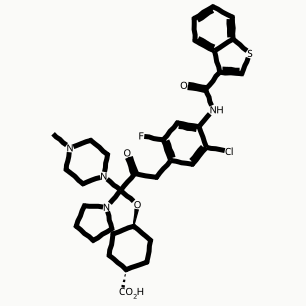 CN1CCN(C(O[C@H]2CC[C@H](C(=O)O)CC2)(C(=O)Cc2cc(Cl)c(NC(=O)c3csc4ccccc34)cc2F)N2CCCC2)CC1